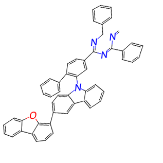 C=N/C(=N\C(=N/Cc1ccccc1)c1ccc(-c2ccccc2)c(-n2c3ccccc3c3cc(-c4cccc5c4oc4ccccc45)ccc32)c1)c1ccccc1